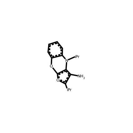 CC(C)c1oc2c(c1N)N(C(C)C)c1ccccc1O2